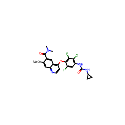 COc1cc2nccc(Oc3c(F)cc(NC(=O)NC4CC4)c(Cl)c3F)c2cc1C(=O)N(C)C